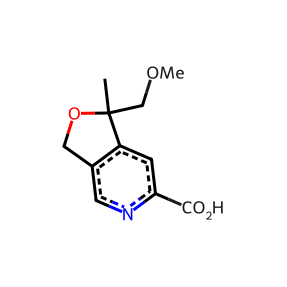 COCC1(C)OCc2cnc(C(=O)O)cc21